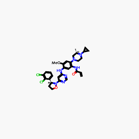 C=CC(=O)Nc1cc(Nc2cc(N3OCC[C@@H]3c3cccc(Cl)c3Cl)ncn2)c(OC)cc1N1CCN(C2CC2)[C@@H](C)C1